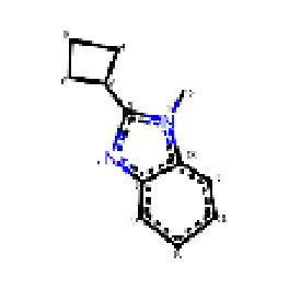 Cn1c(C2CCC2)nc2ccccc21